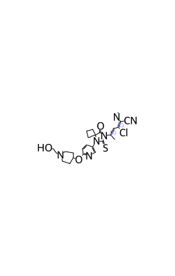 C=N/C(C#N)=C(Cl)\C=C(/C)N1C(=O)C2(CCC2)N(c2ccc(OC3CCN(CCO)CC3)nc2)C1=S